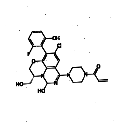 C=CC(=O)N1CCN(C2=NC(O)N3c4c2cc(Cl)c(-c2c(O)cccc2F)c4OC[C@H]3CO)CC1